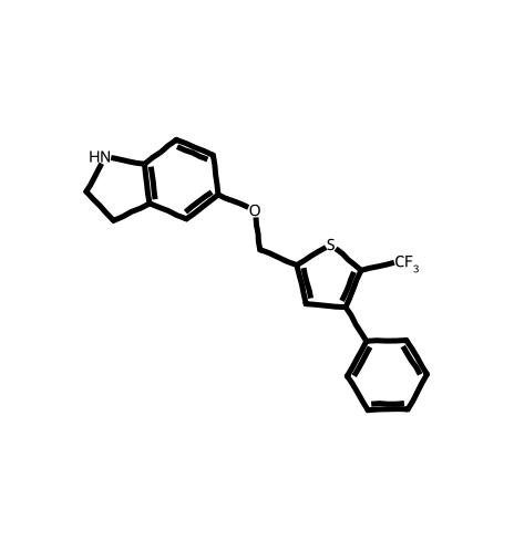 FC(F)(F)c1sc(COc2ccc3c(c2)CCN3)cc1-c1ccccc1